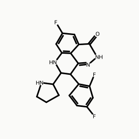 O=c1[nH]nc2c3c(cc(F)cc13)NC(C1CCCN1)C2c1ccc(F)cc1F